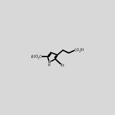 CCOC(=O)CCc1cc(C(=O)OCC)[nH]c1CC